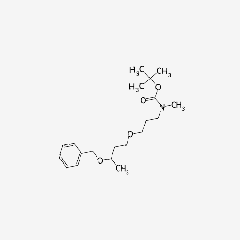 CC(CCOCCCN(C)C(=O)OC(C)(C)C)OCc1ccccc1